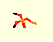 COP(=O)(OC)OP